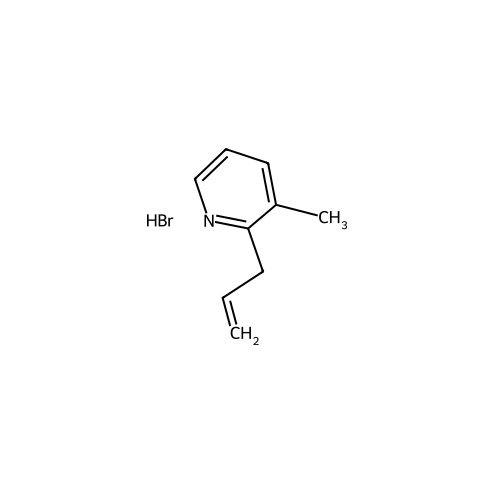 Br.C=CCc1ncccc1C